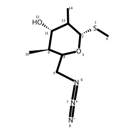 CS[C@@H]1OC(CN=[N+]=[N-])[C@@H](C)[C@H](O)C1C